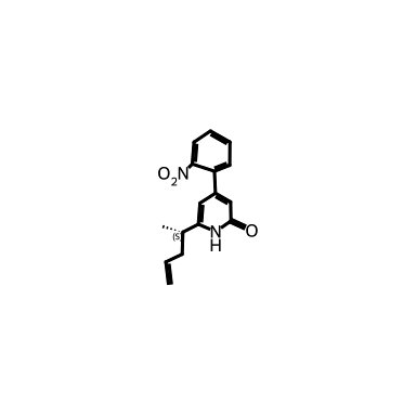 C=CC[C@H](C)c1cc(-c2ccccc2[N+](=O)[O-])cc(=O)[nH]1